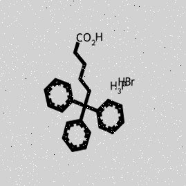 Br.O=C(O)CCCCC(c1ccccc1)(c1ccccc1)c1ccccc1.P